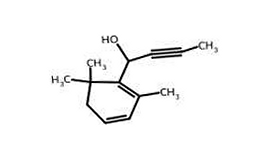 CC#CC(O)C1=C(C)C=CCC1(C)C